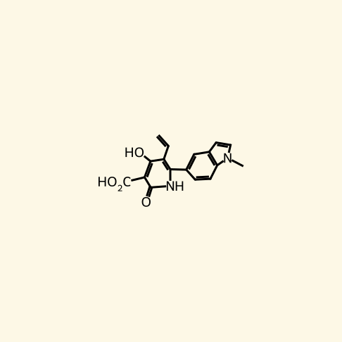 C=Cc1c(-c2ccc3c(ccn3C)c2)[nH]c(=O)c(C(=O)O)c1O